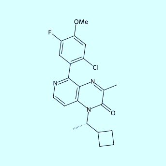 COc1cc(Cl)c(-c2nccc3c2nc(C)c(=O)n3[C@@H](C)C2CCC2)cc1F